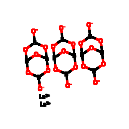 [La+3].[La+3].[O-]B1OB2OB([O-])OB(O1)O2.[O-]B1OB2OB([O-])OB(O1)O2.[O-]B1OB2OB([O-])OB(O1)O2